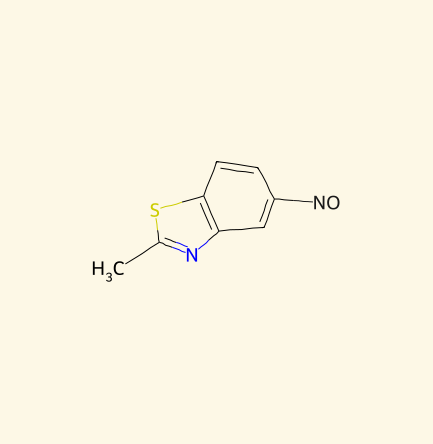 Cc1nc2cc(N=O)ccc2s1